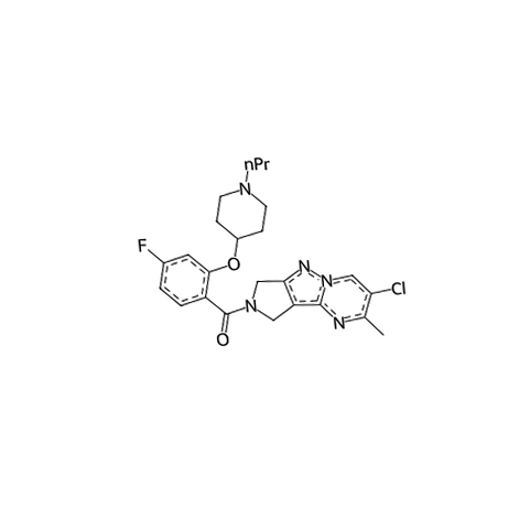 CCCN1CCC(Oc2cc(F)ccc2C(=O)N2Cc3nn4cc(Cl)c(C)nc4c3C2)CC1